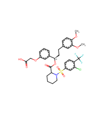 COc1ccc(CC[C@@H](OC(=O)C2CCCCN2S(=O)(=O)c2ccc(C(F)(F)F)c(Cl)c2)c2cccc(OCC(=O)O)c2)cc1OC